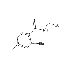 Cc1ccc(C(=O)NCC(C)(C)C)c(C(C)(C)C)c1